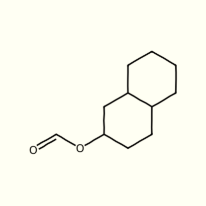 O=COC1CCC2CCCCC2C1